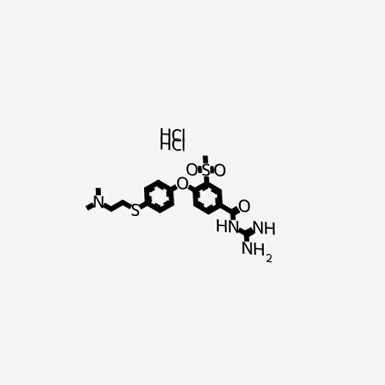 CN(C)CCSc1ccc(Oc2ccc(C(=O)NC(=N)N)cc2S(C)(=O)=O)cc1.Cl.Cl